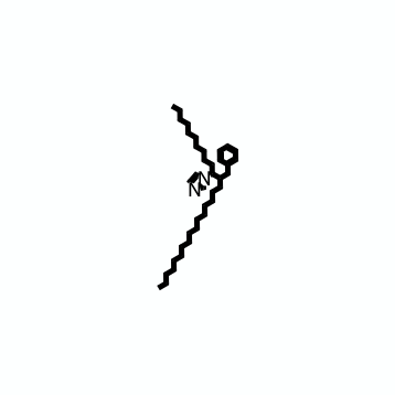 CCCCCCCCCCCCCCCCC(Cc1ccccc1)C(CCCCCCCCCC)n1ccnc1